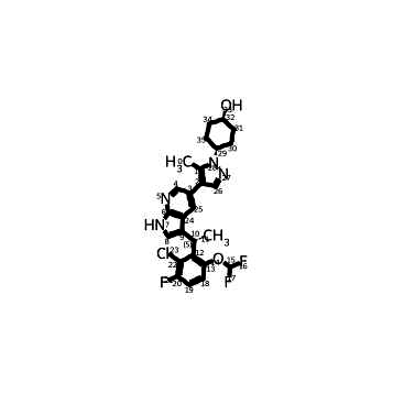 Cc1c(-c2cnc3[nH]cc([C@H](C)c4c(OC(F)F)ccc(F)c4Cl)c3c2)cnn1[C@H]1CC[C@H](O)CC1